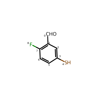 O=Cc1cc(S)ccc1F